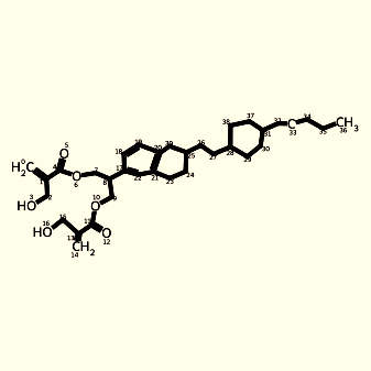 C=C(CO)C(=O)OCC(COC(=O)C(=C)CO)c1ccc2c(c1)CCC(CCC1CCC(CCCCC)CC1)C2